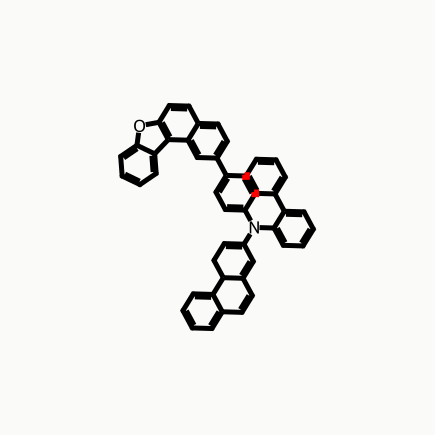 C1=Cc2ccccc2C2CC=C(N(c3ccc(-c4ccc5ccc6oc7ccccc7c6c5c4)cc3)c3ccccc3-c3ccccc3)C=C12